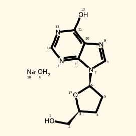 O.OC[C@@H]1CC[C@H](n2cnc3c(O)ncnc32)O1.[Na]